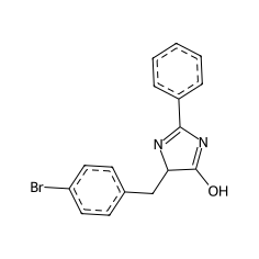 OC1=NC(c2ccccc2)=NC1Cc1ccc(Br)cc1